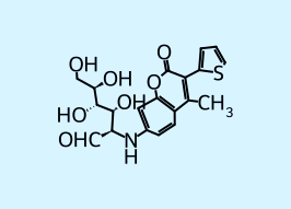 Cc1c(-c2cccs2)c(=O)oc2cc(N[C@@H](C=O)[C@@H](O)[C@H](O)[C@H](O)CO)ccc12